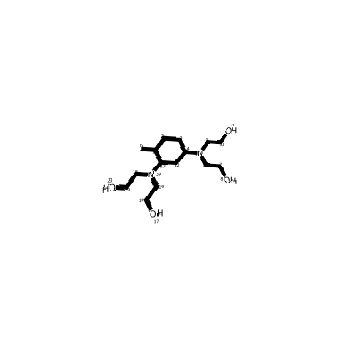 CC1CCC(N(CCO)CCO)CC1N(CCO)CCO